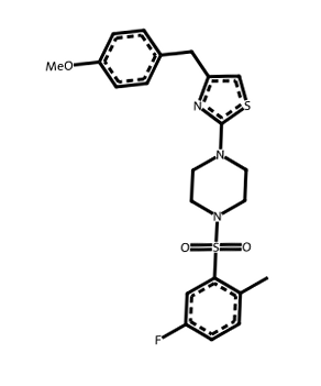 COc1ccc(Cc2csc(N3CCN(S(=O)(=O)c4cc(F)ccc4C)CC3)n2)cc1